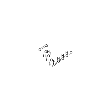 O.O.O.O.O.O.O.O.[O]=[Zr]